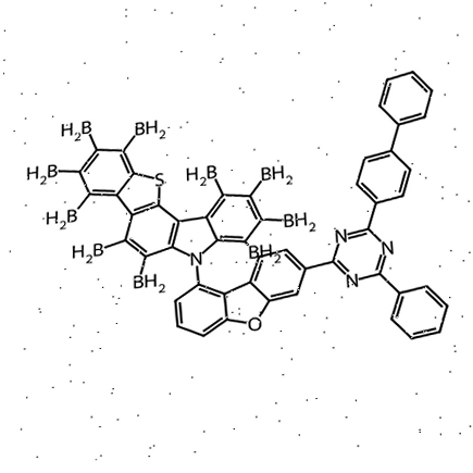 Bc1c(B)c(B)c2c(sc3c2c(B)c(B)c2c3c3c(B)c(B)c(B)c(B)c3n2-c2cccc3oc4cc(-c5nc(-c6ccccc6)nc(-c6ccc(-c7ccccc7)cc6)n5)ccc4c23)c1B